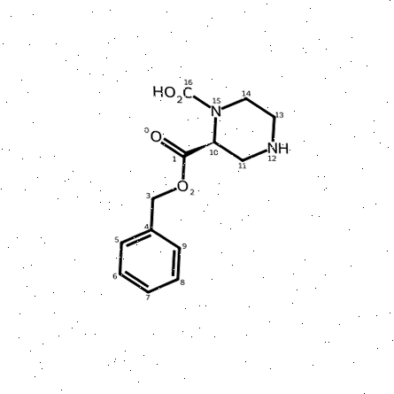 O=C(OCc1ccccc1)[C@@H]1CNCCN1C(=O)O